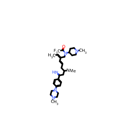 CC=C(/C=C/CC(CC(=N)c1ccc(N2CCN(C)CC2)cc1)NC)CN(C(=O)C(F)(F)F)C1CCN(C)CC1